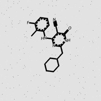 Cc1c(F)cccc1Nc1nc(CC2CCCCC2)[nH]c(=O)c1C#N